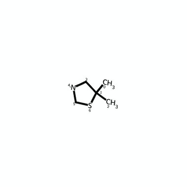 CC1(C)C[N]CS1